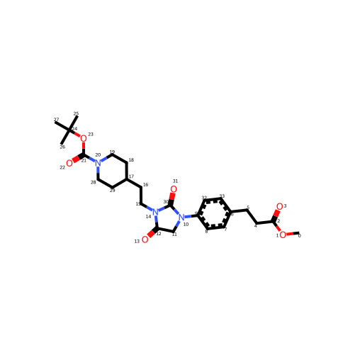 COC(=O)CCc1ccc(N2CC(=O)N(CCC3CCN(C(=O)OC(C)(C)C)CC3)C2=O)cc1